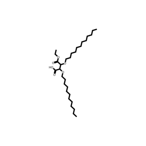 CCCCCCCCCCCCOC(C(=O)O)C(OCCCCCCCCCCCC)C(=O)OCC